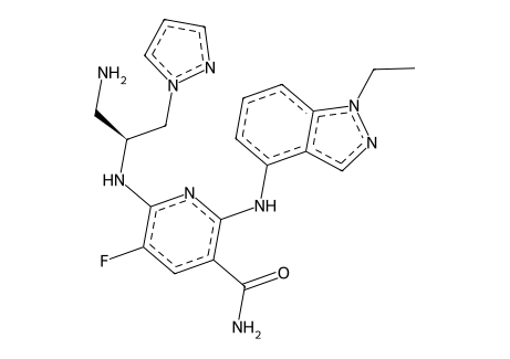 CCn1ncc2c(Nc3nc(N[C@@H](CN)Cn4cccn4)c(F)cc3C(N)=O)cccc21